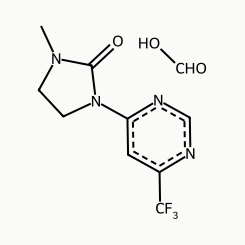 CN1CCN(c2cc(C(F)(F)F)ncn2)C1=O.O=CO